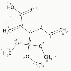 C=CCC(C(=C)C(=O)O)[Si](OC)(OC)OC